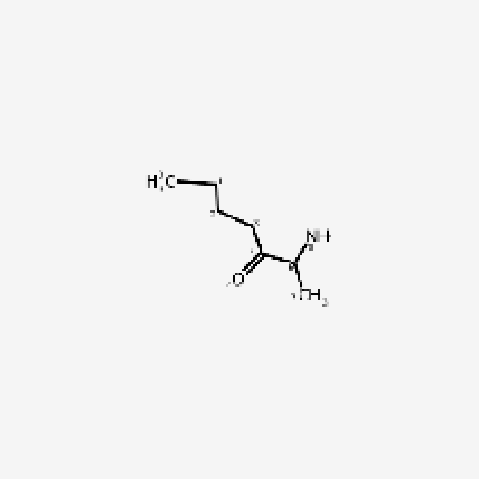 CCCCC(=O)C(C)[NH]